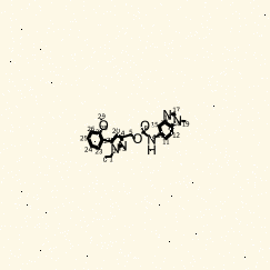 CCn1nc(COC(=O)Nc2ccc3c(c2)ncn3C)cc1-c1ccccc1OC